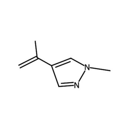 C=C(C)c1cnn(C)c1